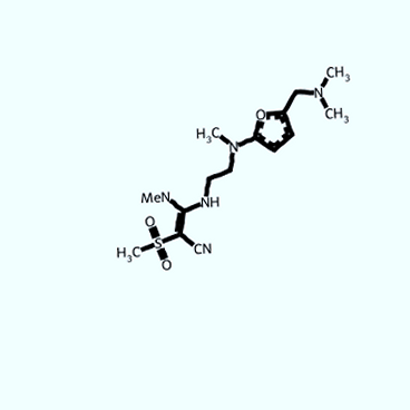 CN/C(NCCN(C)c1ccc(CN(C)C)o1)=C(/C#N)S(C)(=O)=O